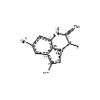 CC1C(=O)Nc2cc(Br)cc3c(F)cn1c23